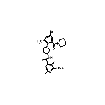 COc1nc(C)cc(C(=O)N[C@@H]2CCN(c3c(C(=O)N4CCOCC4)cc(Br)cc3C(F)(F)F)C2)c1F